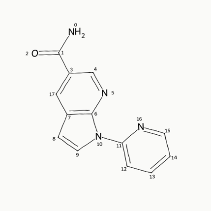 NC(=O)c1cnc2c(ccn2-c2ccccn2)c1